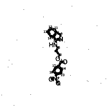 O=C(OCCCNC1=NCc2ccccc21)c1ccc([N+](=O)[O-])cc1